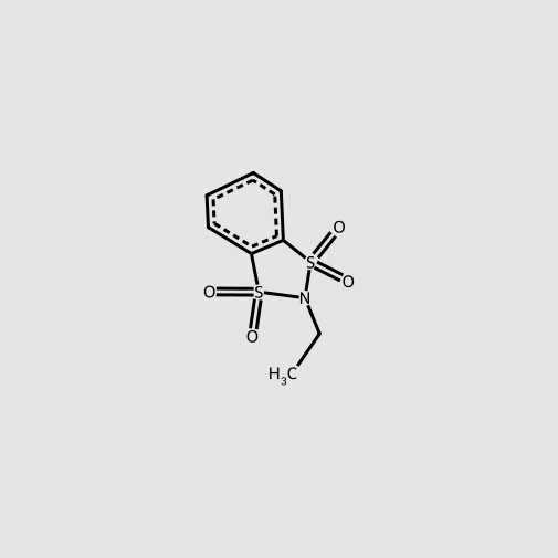 CCN1S(=O)(=O)c2ccccc2S1(=O)=O